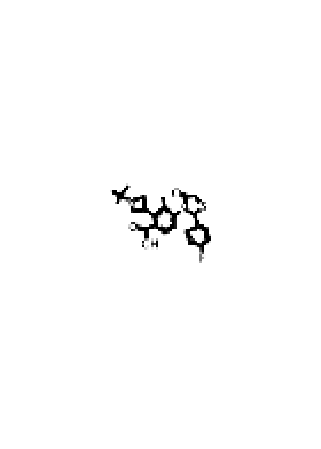 Cc1c(N2C(=O)CSC2c2ccc(F)cc2)ccc(C(=O)O)c1C1CN(C(C)(C)C)C1